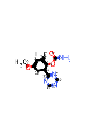 COc1cc(C)c(OC(N)=O)c(-c2ncncn2)c1